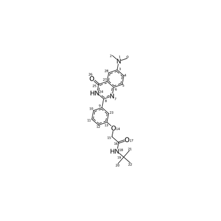 CN(C)c1ccc2nc(-c3cccc(OCC(=O)NC(C)(C)C)c3)[nH]c(=O)c2c1